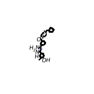 Cc1cc(C(=N)/C=C(\N)c2cccc(C(=O)N3CCN(Cc4ccccc4)CC3)c2)ccc1O